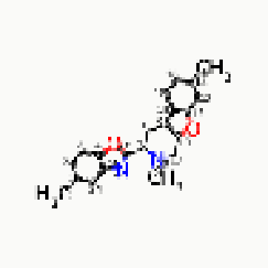 Cc1ccc2oc([C@H]3Cc4c(oc5cc(C)ccc45)CN3C)nc2c1